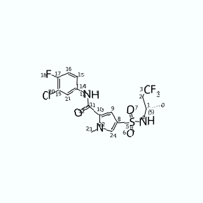 C[C@@H](CC(F)(F)F)NS(=O)(=O)c1cc(C(=O)Nc2ccc(F)c(Cl)c2)n(C)c1